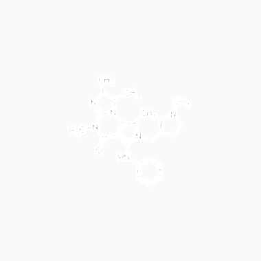 Cc1c2c(c(Nc3ccccc3)n1CC1CCN(C)C1)C(=O)N(C)C1=NC(C)C(C)N12